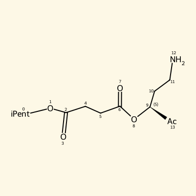 CCCC(C)OC(=O)CCC(=O)O[C@@H](CCN)C(C)=O